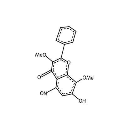 COc1c(-c2ccccc2)oc2c(OC)c(O)cc(N=O)c2c1=O